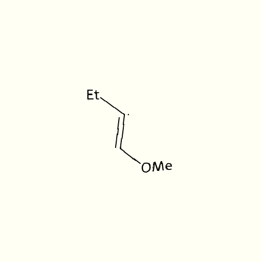 CC[C]=COC